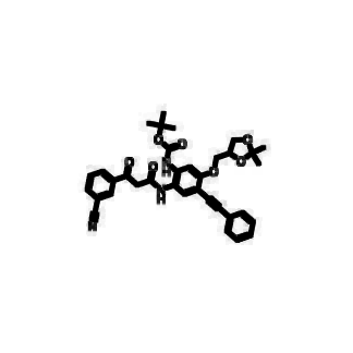 CC(C)(C)OC(=O)Nc1cc(OCC2COC(C)(C)O2)c(C#Cc2ccccc2)cc1NC(=O)CC(=O)c1cccc(C#N)c1